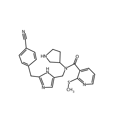 CSc1ncccc1C(=O)N(Cc1cnc(Cc2ccc(C#N)cc2)[nH]1)C1CCNC1